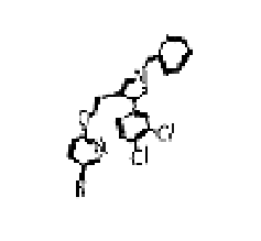 N#Cc1ccc(OCCC2CN(Cc3ccccc3)CC2c2ccc(Cl)c(Cl)c2)nc1